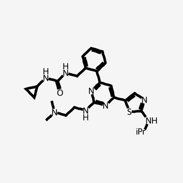 CC(C)Nc1ncc(-c2cc(-c3ccccc3CNC(=O)NC3CC3)nc(NCCN(C)C)n2)s1